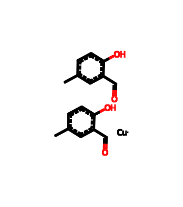 Cc1ccc(O)c(C=O)c1.Cc1ccc(O)c(C=O)c1.[Cu]